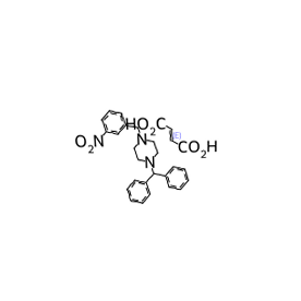 O=C(O)/C=C/C(=O)O.O=[N+]([O-])c1cccc(CN2CCN(C(c3ccccc3)c3ccccc3)CC2)c1